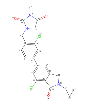 CN1C(=O)CN(Cc2ccc(-c3cc(Cl)c4c(c3)CN(C3CC3)C4=O)cc2Cl)C1=O